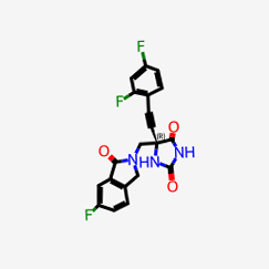 O=C1NC(=O)[C@@](C#Cc2ccc(F)cc2F)(CN2Cc3ccc(F)cc3C2=O)N1